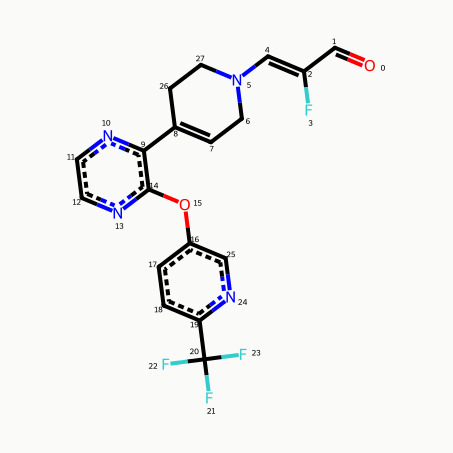 O=CC(F)=CN1CC=C(c2nccnc2Oc2ccc(C(F)(F)F)nc2)CC1